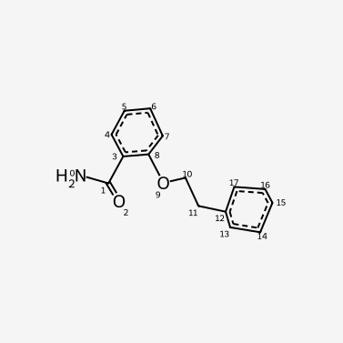 NC(=O)c1ccccc1OCCc1ccccc1